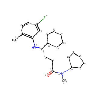 Cc1ccc(F)cc1N[C@@H](CCC(=O)N(C)C1CCCCC1)C1CCCCC1